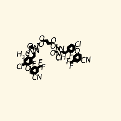 Cn1c(Cc2ccc(Cl)c(Oc3cc(C#N)cc(C(F)F)c3)c2F)nn(COC(=O)CCC(=O)OCn2nc(Cc3ccc(Cl)c(Oc4cc(C#N)cc(C(F)F)c4)c3F)n(C)c2=O)c1=O